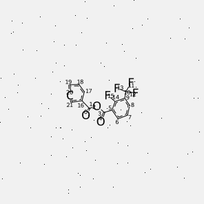 O=C(OC(=O)c1cccc(C(F)(F)F)c1F)c1ccccc1